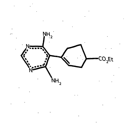 CCOC(=O)C1CC=C(c2c(N)ncnc2N)CC1